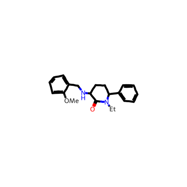 CCN1C(=O)C(NCc2ccccc2OC)CCC1c1ccccc1